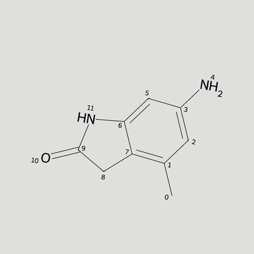 Cc1cc(N)cc2c1CC(=O)N2